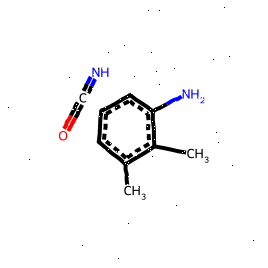 Cc1cccc(N)c1C.N=C=O